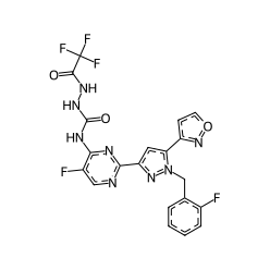 O=C(NNC(=O)C(F)(F)F)Nc1nc(-c2cc(-c3ccon3)n(Cc3ccccc3F)n2)ncc1F